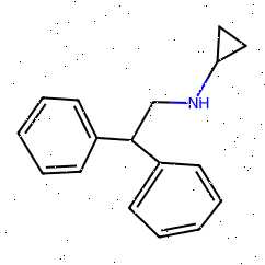 c1ccc(C(CNC2CC2)c2ccccc2)cc1